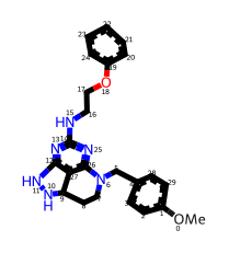 COc1ccc(CN2CCC3NNc4nc(NCCOc5ccccc5)nc2c43)cc1